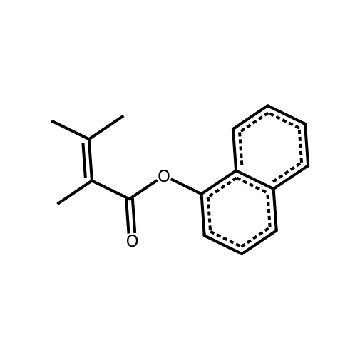 CC(C)=C(C)C(=O)Oc1cccc2ccccc12